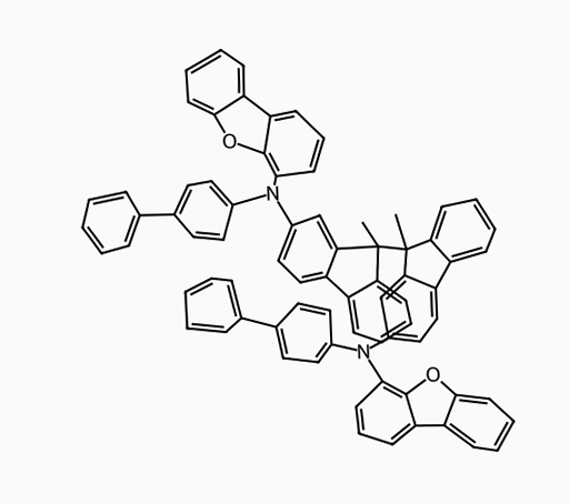 CC1(C2(C)c3ccccc3-c3ccc(N(c4ccc(-c5ccccc5)cc4)c4cccc5c4oc4ccccc45)cc32)c2ccccc2-c2ccc(N(c3ccc(-c4ccccc4)cc3)c3cccc4c3oc3ccccc34)cc21